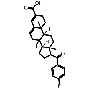 C[C@]12CCC(C(=O)O)=CC1=CC[C@@H]1[C@H]2CC[C@]2(C)C(C(=O)c3ccc(F)cc3)CC[C@@H]12